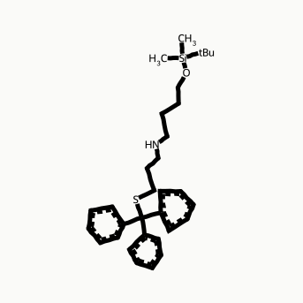 CC(C)(C)[Si](C)(C)OCCCCNCCCSC(c1ccccc1)(c1ccccc1)c1ccccc1